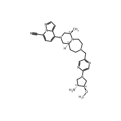 CO[C@@H]1CN(c2cnc(CN3CC[C@H]4CN(c5ccc(C#N)n6nccc56)C[C@@H](C)N4CC3)cn2)C[C@H]1N